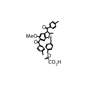 COc1cc2c(cc1C(=O)c1ccc(C)cc1)N(Cc1ccc(CO[C@H](C)C(=O)O)cc1)C(C)C2C(=O)c1ccc(C)cc1